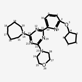 c1cc(OC2CCCC2)nc(-c2nc(N3CCCCCC3)nc(N3CCOCC3)n2)c1